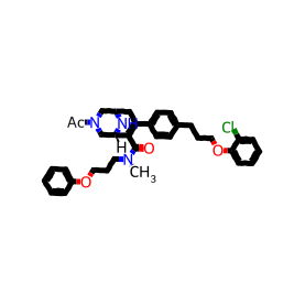 CC(=O)N1CC2CC(c3ccc(CCCOc4ccccc4Cl)cc3)=C(C(=O)N(C)CCCOc3ccccc3)[C@@H](C1)N2